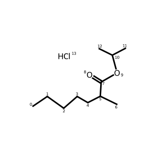 CCCCCC(C)C(=O)OC(C)C.Cl